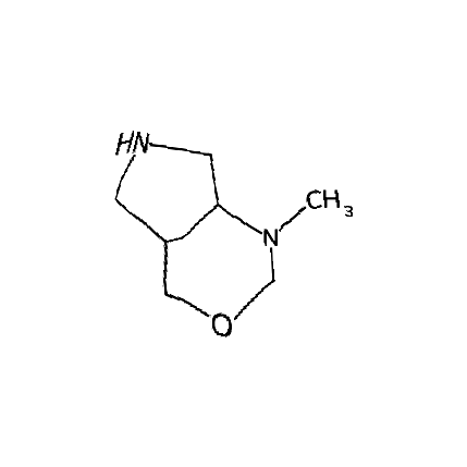 CN1COCC2CNCC21